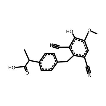 COc1cc(C#N)c(Cc2ccc(C(C)C(=O)O)cc2)c(C#N)c1O